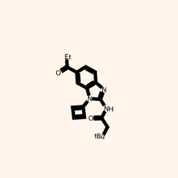 CCC(=O)c1ccc2nc(NC(=O)CC(C)(C)C)n(C3=CC=C3)c2c1